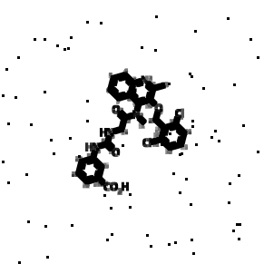 Cc1nc2ccccc2c(N(C)C(=O)CNC(=O)Nc2cccc(C(=O)O)c2)c1OCc1c(Cl)cccc1Cl